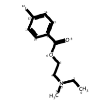 CCN(C)CCOC(=O)c1ccc(I)cc1